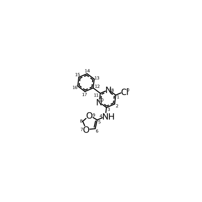 Clc1cc(NC2=COCO2)nc(-c2ccccc2)n1